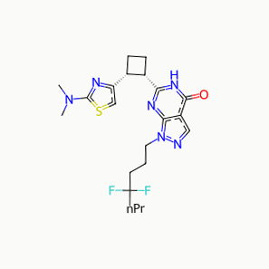 CCCC(F)(F)CCCn1ncc2c(=O)[nH]c([C@H]3CC[C@H]3c3csc(N(C)C)n3)nc21